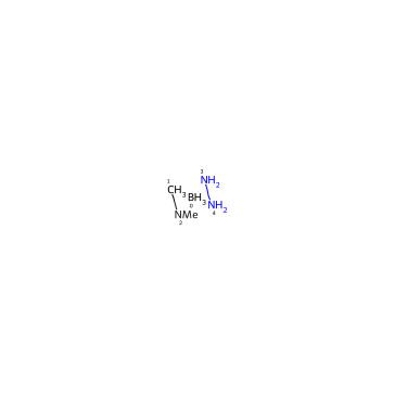 B.CNC.NN